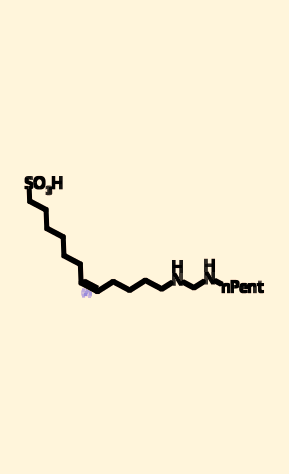 CCCCCNCNCCCC/C=C\CCCCCCS(=O)(=O)O